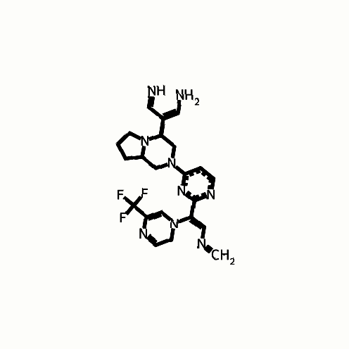 C=N/C=C(/c1nccc(N2CC3CCCN3C(/C(C=N)=C/N)C2)n1)N1C=C(C(F)(F)F)N=CC1